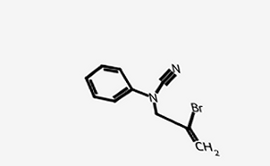 C=C(Br)CN(C#N)c1ccccc1